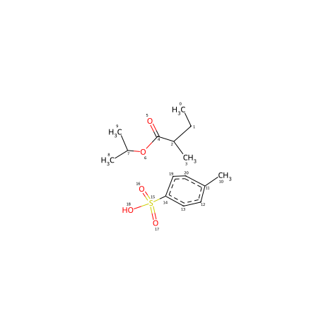 CCC(C)C(=O)OC(C)C.Cc1ccc(S(=O)(=O)O)cc1